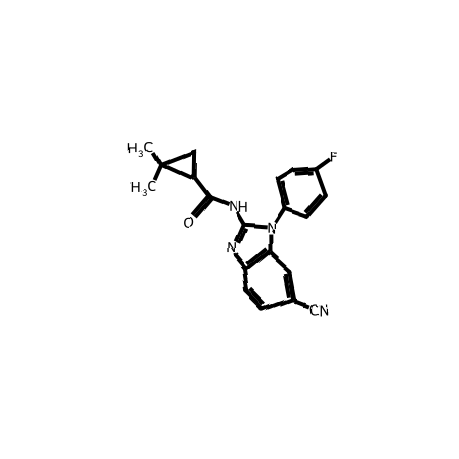 CC1(C)CC1C(=O)Nc1nc2ccc(C#N)cc2n1-c1ccc(F)cc1